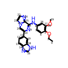 CCOc1ccc(Nc2nc(-c3ccc4nc[nH]c4c3)cn3ccnc23)cc1OC